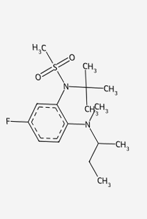 CCC(C)N(C)c1ccc(F)cc1N(C(C)(C)C)S(C)(=O)=O